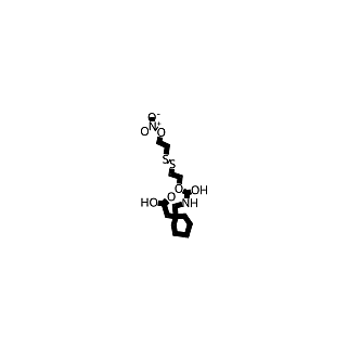 O=C(O)CC1(CNC(O)OCCSSCCO[N+](=O)[O-])CCCCC1